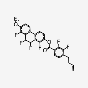 C=CCCc1ccc(C(=O)Oc2ccc3c(c2F)C(F)C(F)c2c-3ccc(OCC)c2F)c(F)c1F